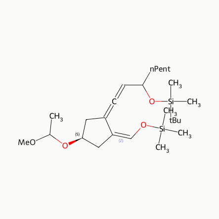 CCCCCC(C=C=C1C[C@H](OC(C)OC)C/C1=C/O[Si](C)(C)C)O[Si](C)(C)C(C)(C)C